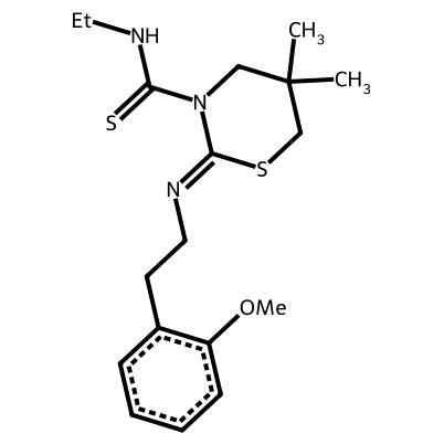 CCNC(=S)N1CC(C)(C)CS/C1=N\CCc1ccccc1OC